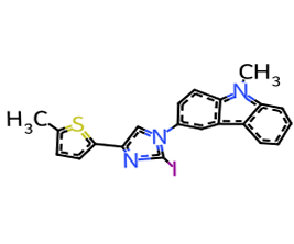 Cc1ccc(-c2cn(-c3ccc4c(c3)c3ccccc3n4C)c(I)n2)s1